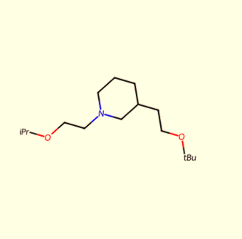 CC(C)OCCN1CCCC(CCOC(C)(C)C)C1